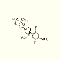 CC(C)(C)OC(=O)N1CCN(c2cc(F)c(N)cc2F)[C@H](CO)C1